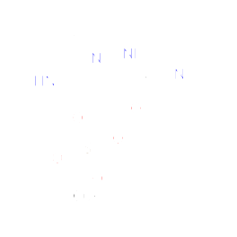 NC(=O)NN1CCNC1.O=S(=O)([O-])[O-].[Cu+2]